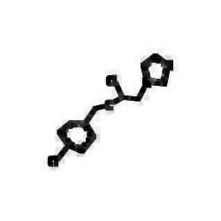 Clc1ccc(CCC(Cl)Cn2ccnc2)cc1